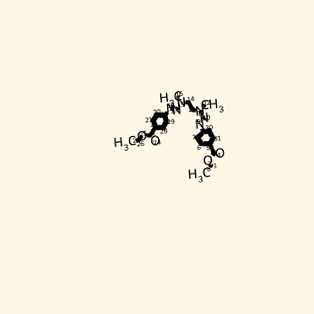 CCOC(=O)c1ccc(N=NN(C)CCN(C)/N=N/c2ccc(C(=O)OCC)cc2)cc1